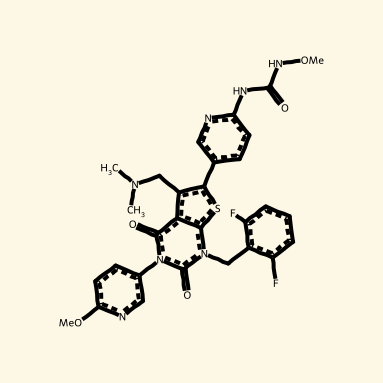 CONC(=O)Nc1ccc(-c2sc3c(c2CN(C)C)c(=O)n(-c2ccc(OC)nc2)c(=O)n3Cc2c(F)cccc2F)cn1